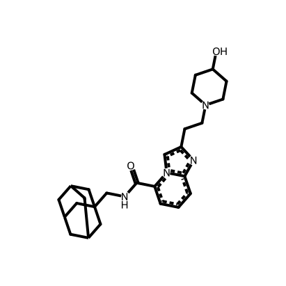 O=C(NCC12CC3CC(CC(C3)C1)C2)c1cccc2nc(CCN3CCC(O)CC3)cn12